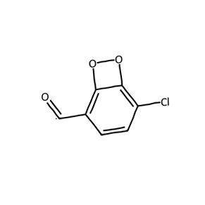 O=[C]c1ccc(Cl)c2ooc12